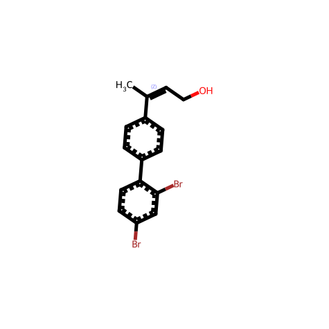 C/C(=C/CO)c1ccc(-c2ccc(Br)cc2Br)cc1